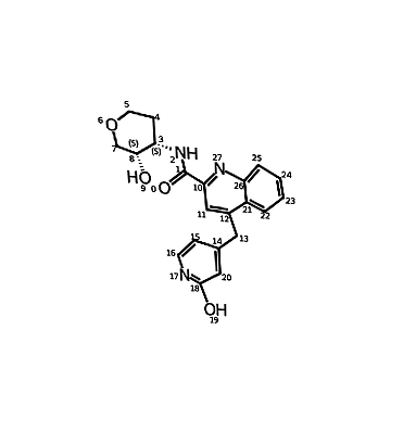 O=C(N[C@H]1CCOC[C@H]1O)c1cc(Cc2ccnc(O)c2)c2ccccc2n1